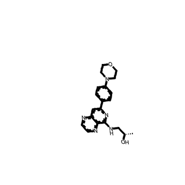 C[C@H](O)CNc1nc(-c2ccc(N3CCOCC3)cc2)cc2nccnc12